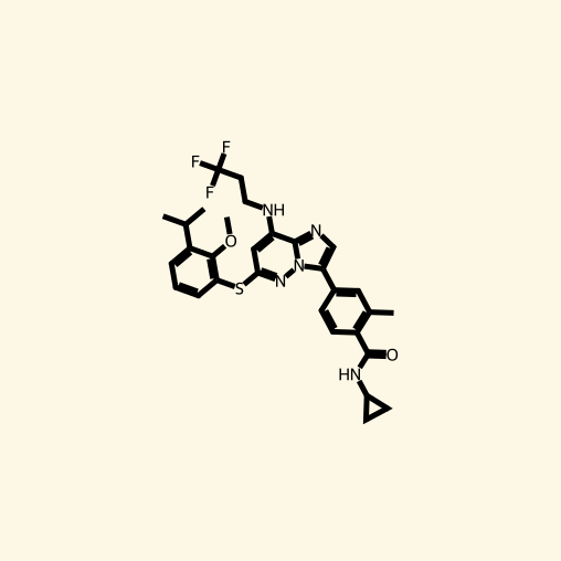 COc1c(Sc2cc(NCCC(F)(F)F)c3ncc(-c4ccc(C(=O)NC5CC5)c(C)c4)n3n2)cccc1C(C)C